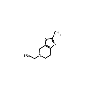 Cc1nc2c(s1)CN(CC(C)(C)C)CC2